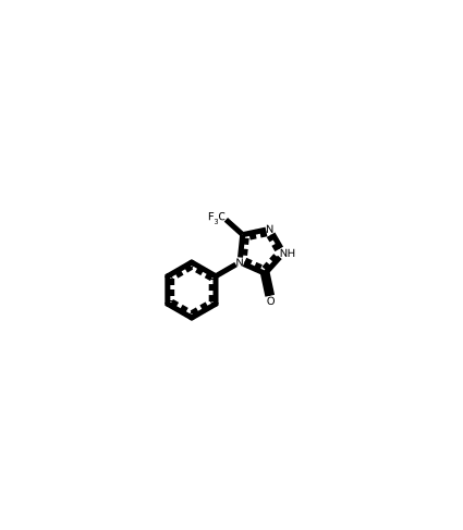 O=c1[nH]nc(C(F)(F)F)n1-c1ccccc1